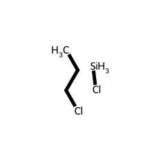 CCCCl.[SiH3]Cl